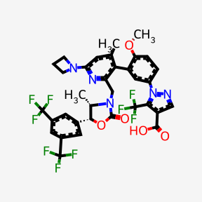 COc1ccc(-n2ncc(C(=O)O)c2C(F)(F)F)cc1-c1c(C)cc(N2CCC2)nc1CN1C(=O)O[C@H](c2cc(C(F)(F)F)cc(C(F)(F)F)c2)[C@@H]1C